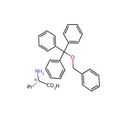 CC(C)[C@H](N)C(=O)O.c1ccc(COC(c2ccccc2)(c2ccccc2)c2ccccc2)cc1